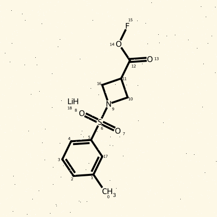 Cc1cccc(S(=O)(=O)N2CC(C(=O)OF)C2)c1.[LiH]